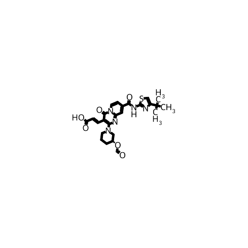 CC(C)(C)c1csc(NC(=O)c2ccn3c(=O)c(C=CC(=O)O)c(N4CCC[C@H](OC=O)C4)nc3c2)n1